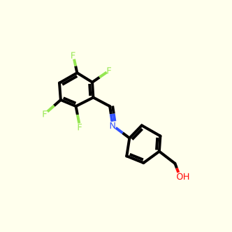 OCc1ccc(N=Cc2c(F)c(F)cc(F)c2F)cc1